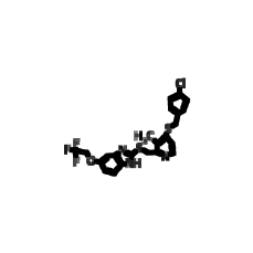 Cc1c(SCc2ccc(Cl)cc2)ccnc1CSc1nc2cc(OCC(F)(F)F)ccc2[nH]1